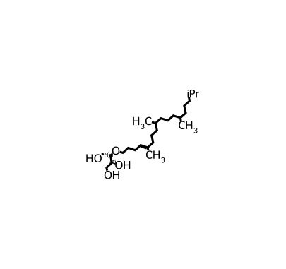 CC(=CCCCO[C@@H](CO)[C@H](O)CO)CCCC(C)CCCC(C)CCCC(C)C